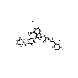 Nc1ncnc2c1c(-c1ccc(Oc3ccccc3)cc1)cn2CC(=O)NCCN1CCCCC1